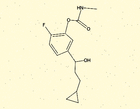 CNC(=O)Oc1cc(C(O)CCC2CC2)ccc1F